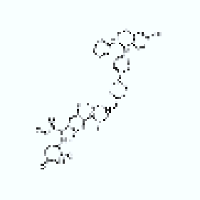 CC1CN(CC2CCN(c3ccc([C@@H]4c5ccc(O)cc5CC[C@@H]4c4ccccc4)cc3)CC2)CC(C)N1c1cc2c(cc1F)C(C(=O)C=O)N(C1CCC(=O)NC1=O)C2